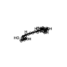 Nc1nc(=O)n([C@@H]2O[C@H](COP(=O)(O)O)C(OP(=O)(O)O)[C@@H]2O)cc1CCCNC(=O)CCOCCOCCOCCOCCNC(=O)Cc1ccc(C(=O)O)c(-c2c3ccc(=O)cc-3oc3cc(O)ccc23)c1